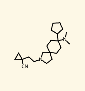 CN(C)C1(C2CCCC2)CCC2(CCN(CCC3(C#N)CC3)C2)CC1